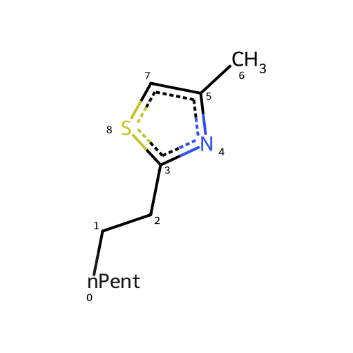 CCCCCCCc1nc(C)cs1